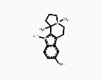 COc1ccc2c(c1)c1c(n2C)C2(C)CCC[N+]2(C)CC1.[I-]